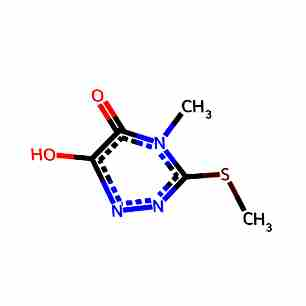 CSc1nnc(O)c(=O)n1C